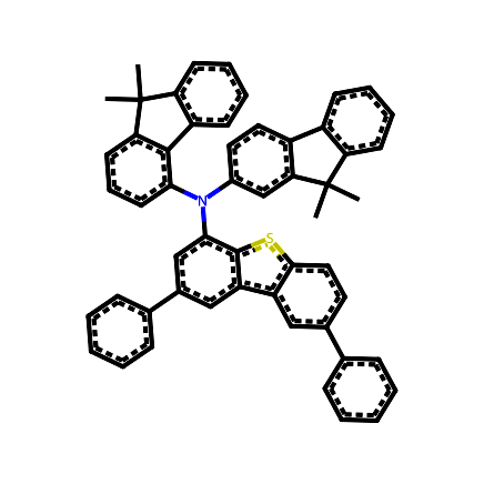 CC1(C)c2ccccc2-c2ccc(N(c3cccc4c3-c3ccccc3C4(C)C)c3cc(-c4ccccc4)cc4c3sc3ccc(-c5ccccc5)cc34)cc21